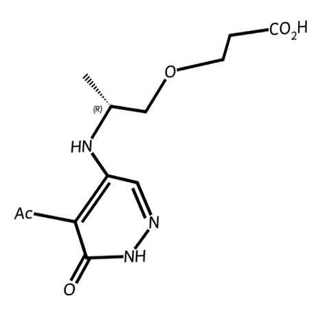 CC(=O)c1c(N[C@H](C)COCCC(=O)O)cn[nH]c1=O